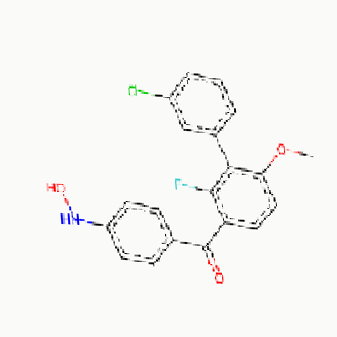 COc1ccc(C(=O)c2ccc(NO)cc2)c(F)c1-c1cccc(Cl)c1